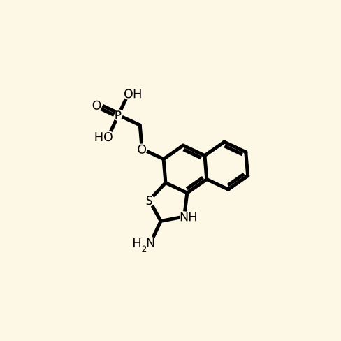 NC1NC2=c3ccccc3=CC(OCP(=O)(O)O)C2S1